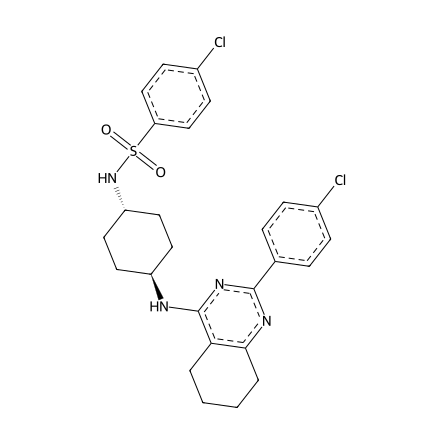 O=S(=O)(N[C@H]1CC[C@H](Nc2nc(-c3ccc(Cl)cc3)nc3c2CCCC3)CC1)c1ccc(Cl)cc1